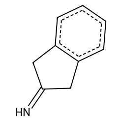 N=C1Cc2ccccc2C1